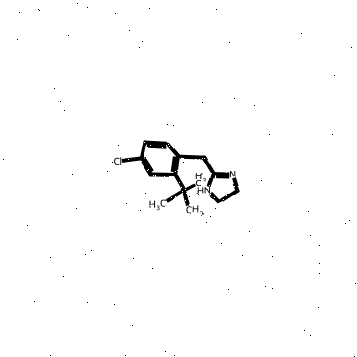 CC(C)(C)c1cc(Cl)ccc1CC1=NCCN1